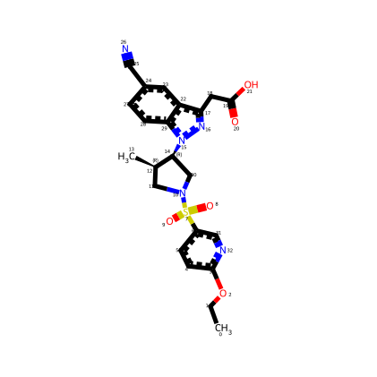 CCOc1ccc(S(=O)(=O)N2C[C@@H](C)[C@@H](n3nc(CC(=O)O)c4cc(C#N)ccc43)C2)cn1